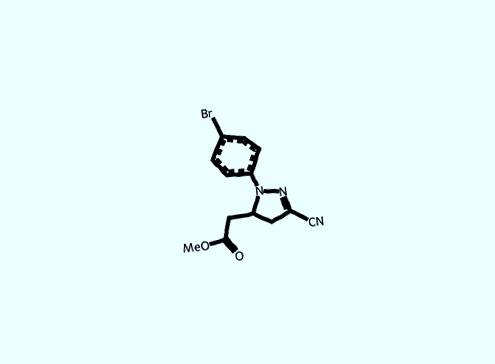 COC(=O)CC1CC(C#N)=NN1c1ccc(Br)cc1